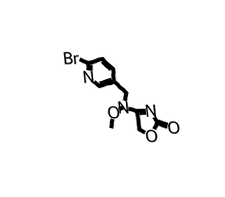 CON(Cc1ccc(Br)nc1)C1=NC(=O)OC1